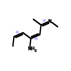 C\C=C/C(N)=C\C(C)=N/C